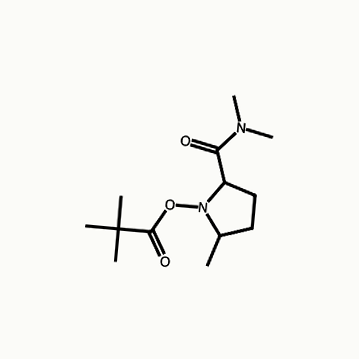 CC1CCC(C(=O)N(C)C)N1OC(=O)C(C)(C)C